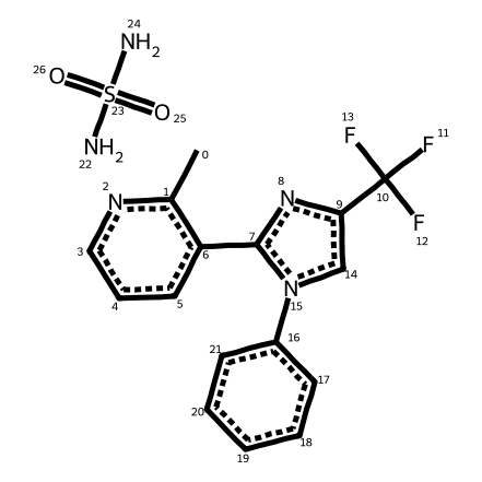 Cc1ncccc1-c1nc(C(F)(F)F)cn1-c1ccccc1.NS(N)(=O)=O